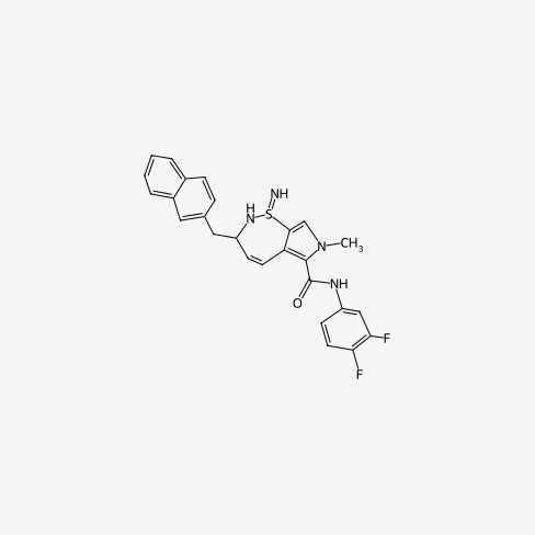 Cn1cc2c(c1C(=O)Nc1ccc(F)c(F)c1)C=CC(Cc1ccc3ccccc3c1)NS2=N